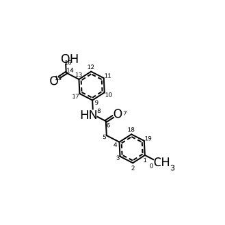 Cc1ccc(CC(=O)Nc2cccc(C(=O)O)c2)cc1